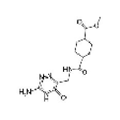 COC(=O)C1CCC(C(=O)NCc2nnc(N)[nH]c2=O)CC1